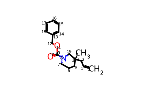 C=CC[C@]1(C)CCCN(C(=O)OCc2ccccc2)C1